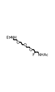 CCNCCOCCOCCOCC(F)CNC(C)=O